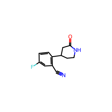 N#Cc1cc(F)ccc1C1CCNC(=O)C1